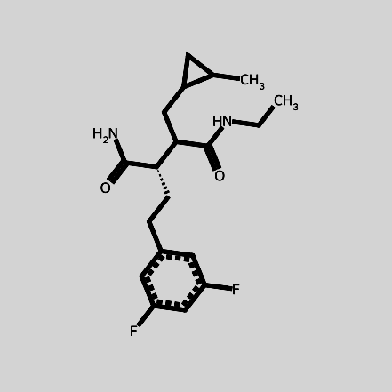 CCNC(=O)C(CC1CC1C)[C@H](CCc1cc(F)cc(F)c1)C(N)=O